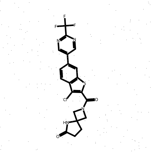 O=C1CCC2(CN(C(=O)c3sc4cc(-c5cnc(C(F)(F)F)nc5)ccc4c3Cl)C2)N1